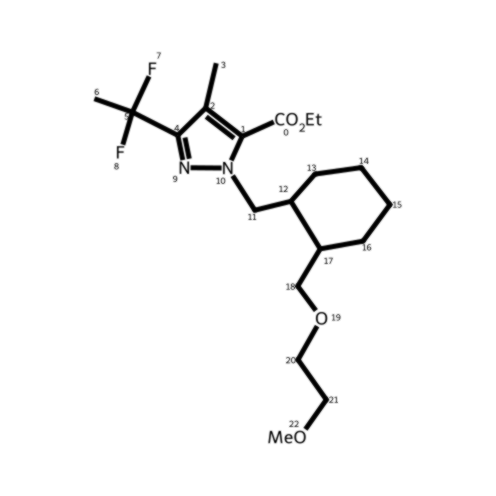 CCOC(=O)c1c(C)c(C(C)(F)F)nn1CC1CCCCC1COCCOC